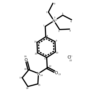 CC[N+](CC)(CC)Cc1ccc(C(=O)N2CCCC2=O)cc1.[Cl-]